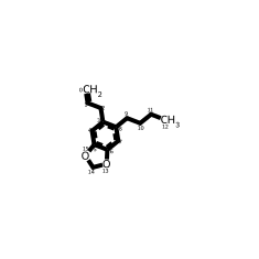 C=CCc1cc2c(cc1CCCC)OCO2